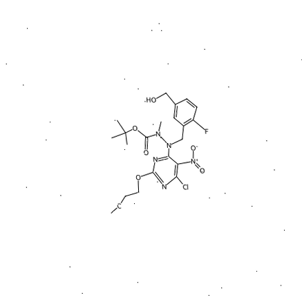 CCCCOc1nc(Cl)c([N+](=O)[O-])c(N(Cc2cc(CO)ccc2F)N(C)C(=O)OC(C)(C)C)n1